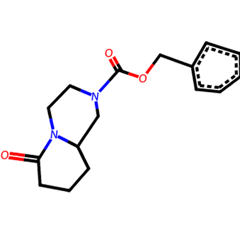 O=C(OCc1ccccc1)N1CCN2C(=O)CCCC2C1